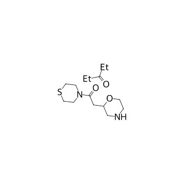 CCC(=O)CC.O=C(CC1CNCCO1)N1CCSCC1